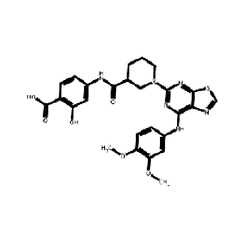 COc1ccc(Nc2nc(N3CCCC(C(=O)Nc4ccc(C(=O)O)c(O)c4)C3)nc3scnc23)cc1OC